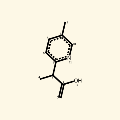 C=C(O)C(C)c1ccc(C)cn1